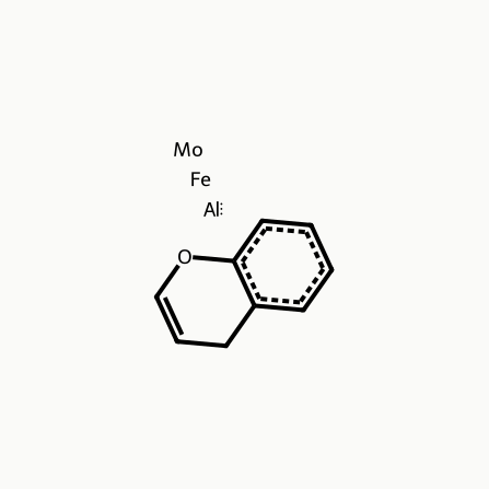 C1=COc2ccccc2C1.[Al].[Fe].[Mo]